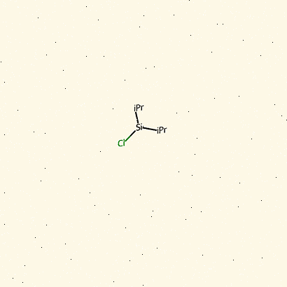 CC(C)[Si](Cl)C(C)C